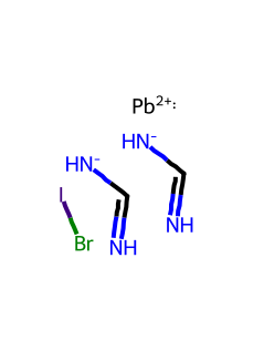 BrI.N=C[NH-].N=C[NH-].[Pb+2]